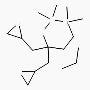 CCC.C[Si]1(C)CCC(CC2CO2)(CC2CO2)O[Si]1(C)C